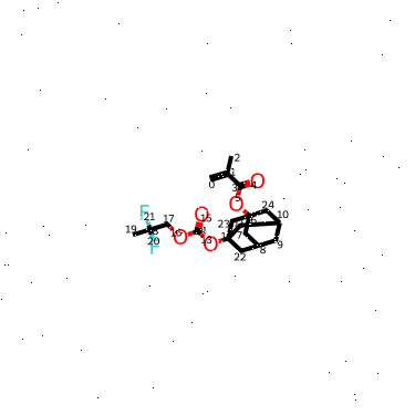 C=C(C)C(=O)OC12CC3CC(CC(OC(=O)OCC(C)(F)F)(C3)C1)C2